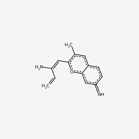 C=C/C(N)=C\c1oc2cc(=N)ccc-2cc1C